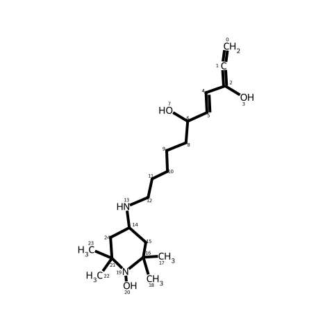 C=C=C(O)/C=C/C(O)CCCCCNC1CC(C)(C)N(O)C(C)(C)C1